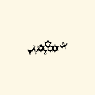 O=C(NCc1ccc(OCC(F)(F)F)nc1N1CCCCC1)c1ccnc(NC(=O)C2CC2)c1